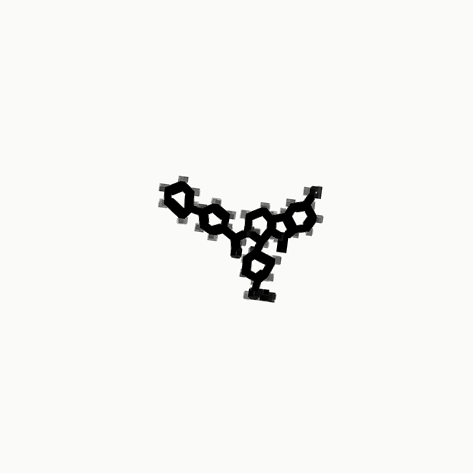 COc1ccc(C2c3[nH]c4ccc(Cl)cc4c3CCN2C(=O)c2ccc(-c3ccccc3)cc2)cc1